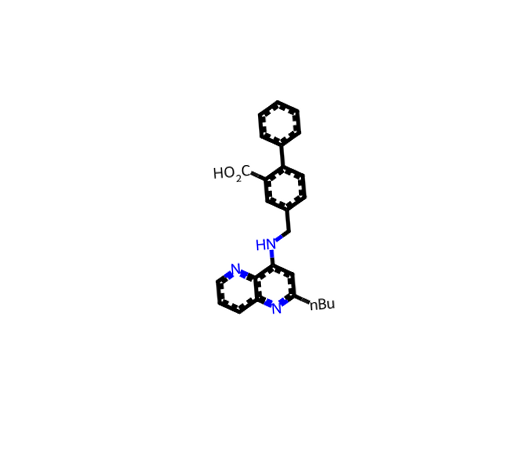 CCCCc1cc(NCc2ccc(-c3ccccc3)c(C(=O)O)c2)c2ncccc2n1